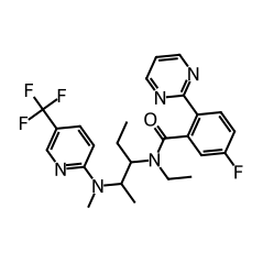 CCC(C(C)N(C)c1ccc(C(F)(F)F)cn1)N(CC)C(=O)c1cc(F)ccc1-c1ncccn1